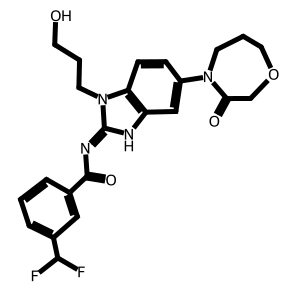 O=C(/N=c1\[nH]c2cc(N3CCCOCC3=O)ccc2n1CCCO)c1cccc(C(F)F)c1